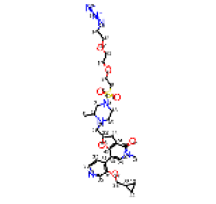 CC1CN(S(=O)(=O)CCOCCOCCN=[N+]=[N-])CCN1Cc1cc2c(=O)n(C)cc(-c3ccncc3OCC3CC3)c2o1